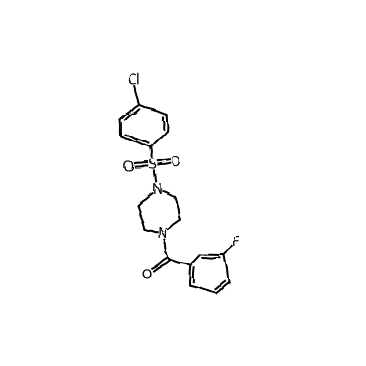 O=C(c1cccc(F)c1)N1CCN(S(=O)(=O)c2ccc(Cl)cc2)CC1